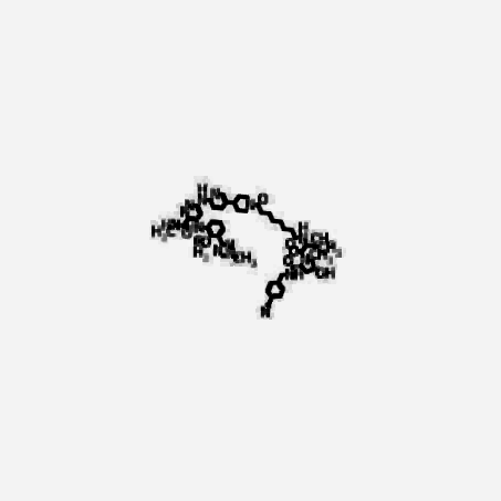 CNC(=O)c1nnc(Nc2ccc(C3CCN(C(=O)CCCCCCC(=O)N[C@H](C(=O)N4C[C@H](O)C[C@H]4C(=O)NCc4ccc(C#N)cc4)C(C)(C)C)CC3)cn2)cc1Nc1cccc(-c2ncn(C)n2)c1OC